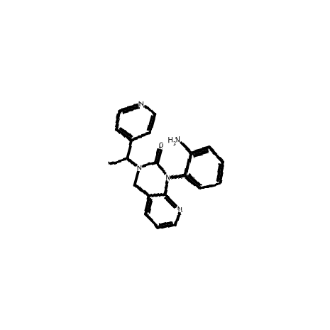 CC(c1ccncc1)N1Cc2cccnc2N(c2ccccc2N)C1=O